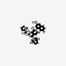 [2H]C([2H])(Oc1nc(N2C[C@H]3CC[C@@H](C2)N3)c2ccn(-c3cc(O)cc4ccc(F)c(F)c34)c(=O)c2n1)[C@@H]1CCCN1C